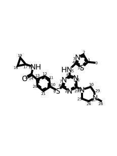 Cc1cnc(Nc2nc(Sc3ccc(C(=O)NC4CC4)cc3)nc(N3CCN(C)CC3)n2)s1